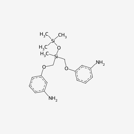 C[Si](C)(C)O[Si](C)(COc1cccc(N)c1)COc1cccc(N)c1